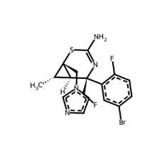 C[C@H]1[C@H]2[C@@]1(Cn1ccnc1)SC(N)=N[C@]2(CF)c1cc(Br)ccc1F